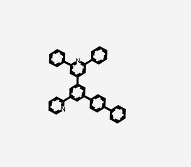 c1ccc(-c2ccc(-c3cc(-c4cc(-c5ccccc5)nc(-c5ccccc5)c4)cc(-c4ccccn4)c3)cc2)cc1